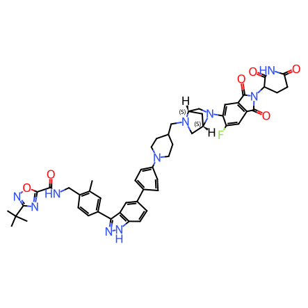 Cc1cc(-c2n[nH]c3ccc(-c4ccc(N5CCC(CN6C[C@@H]7C[C@H]6CN7c6cc7c(cc6F)C(=O)N(C6CCC(=O)NC6=O)C7=O)CC5)cc4)cc23)ccc1CNC(=O)c1nc(C(C)(C)C)no1